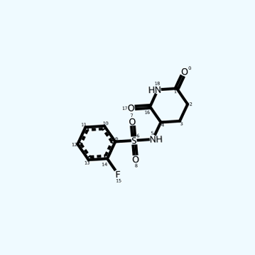 O=C1CCC(NS(=O)(=O)c2ccccc2F)C(=O)N1